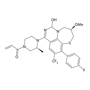 C=CC(=O)N1CCN(C2=NC(O)N3C[C@@H](OC)CSc4c(-c5ccc(F)cc5)c(C(F)(F)F)cc2c43)[C@@H](C)C1